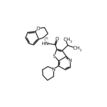 CC(C)c1c(C(=O)N[C@H]2CCOc3ccccc32)sc2c(N3CCCCC3)ccnc12